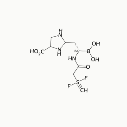 C#S(F)(F)CC(=O)N[C@H](CC1NCC(C(=O)O)N1)B(O)O